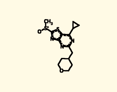 C[S+]([O-])c1nc2nc(CC3CCOCC3)nc(C3CC3)c2s1